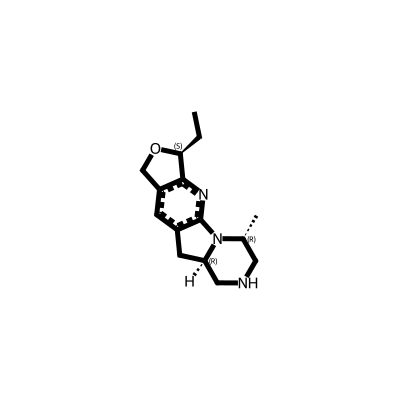 CC[C@@H]1OCc2cc3c(nc21)N1[C@@H](CNC[C@H]1C)C3